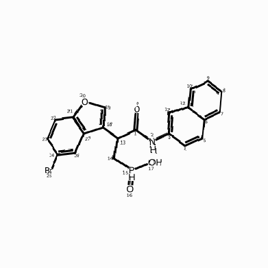 O=C(Nc1ccc2ccccc2c1)C(C[PH](=O)O)c1coc2ccc(Br)cc12